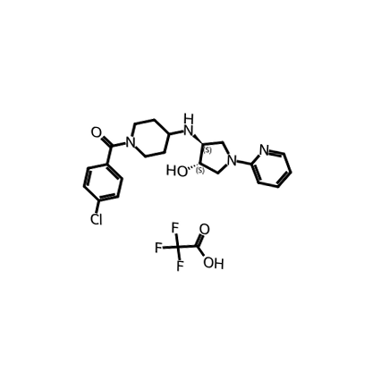 O=C(O)C(F)(F)F.O=C(c1ccc(Cl)cc1)N1CCC(N[C@H]2CN(c3ccccn3)C[C@@H]2O)CC1